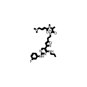 CCCNc1nc(Nc2cccc(F)c2)ncc1-c1cc(CCNC(=O)C(C)N(C)C(=O)C=CCN(C)C)on1